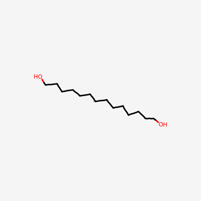 OCCCCCC[CH]CCCCCCCO